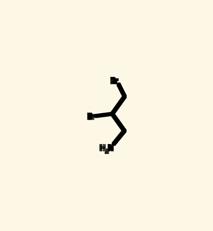 NCC(Br)CBr